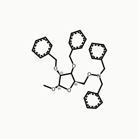 CO[C@@H]1O[C@H](CON(Cc2ccccc2)Cc2ccccc2)C(OCc2ccccc2)[C@@H]1OCc1ccccc1